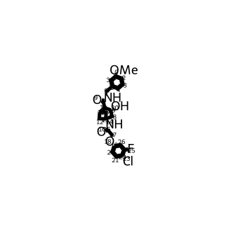 COc1cccc(CNC(=O)C2=C3CC(NC(=O)COc4ccc(Cl)c(F)c4)(C3)CC2O)c1